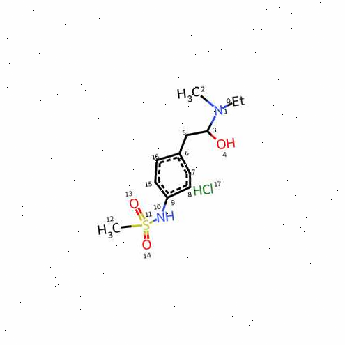 CCN(C)C(O)Cc1ccc(NS(C)(=O)=O)cc1.Cl